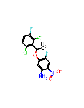 CC(Oc1cc(N)c([N+](=O)[O-])cc1F)c1c(Cl)ccc(F)c1Cl